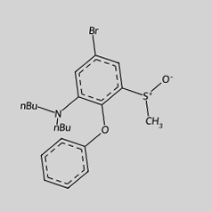 CCCCN(CCCC)c1cc(Br)cc([S+](C)[O-])c1Oc1ccccc1